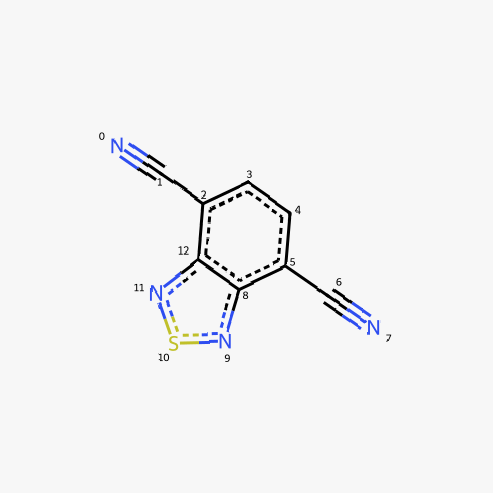 N#Cc1ccc(C#N)c2nsnc12